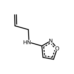 C=CCNc1ccon1